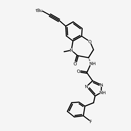 CN1C(=O)[C@@H](NC(=O)c2n[nH]c(Cc3ccccc3F)n2)COc2ccc(C#CC(C)(C)C)cc21